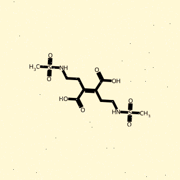 CS(=O)(=O)NCC/C(C(=O)O)=C(/CCNS(C)(=O)=O)C(=O)O